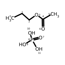 CCCOC(C)=O.O=P(O)(O)O